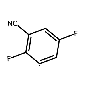 N#Cc1cc(F)c[c]c1F